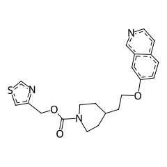 O=C(OCc1cscn1)N1CCC(CCOc2ccc3ccncc3c2)CC1